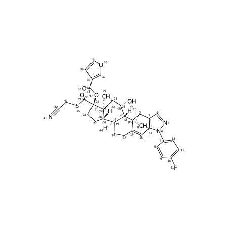 C[C@]12Cc3cnn(-c4ccc(F)cc4)c3C=C1CC[C@@H]1[C@@H]2[C@@H](O)C[C@@]2(C)[C@H]1CC[C@]2(OC(=O)c1ccoc1)C(=O)SCC#N